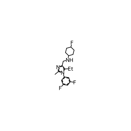 CCc1c(CNC2CCC(F)CC2)nc(C)n1-c1cc(F)cc(F)c1